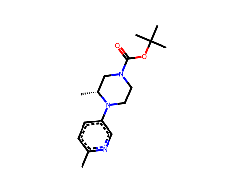 Cc1ccc(N2CCN(C(=O)OC(C)(C)C)C[C@H]2C)cn1